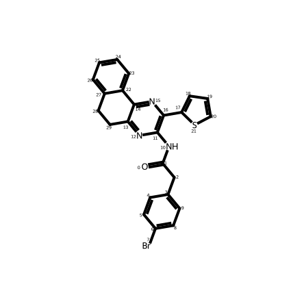 O=C(Cc1ccc(Br)cc1)Nc1nc2c(nc1-c1cccs1)-c1ccccc1CC2